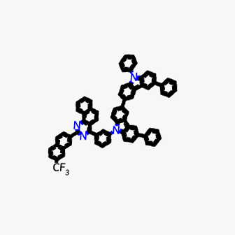 FC(F)(F)c1ccc2ccc(-c3nc(-c4cccc(-n5c6ccc(-c7ccccc7)cc6c6cc(-c7ccc8c(c7)c7cc(-c9ccccc9)ccc7n8-c7ccccc7)ccc65)c4)c4ccc5ccccc5c4n3)cc2c1